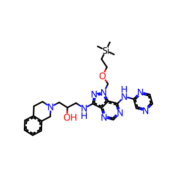 C[Si](C)(C)CCOCn1nc(NCC(O)CN2CCc3ccccc3C2)c2ncnc(Nc3cnccn3)c21